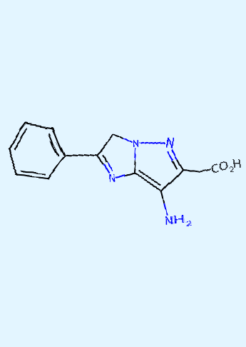 Nc1c(C(=O)O)nn2c1N=C(c1ccccc1)C2